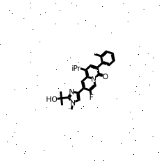 Cc1ccccc1-c1cc(C(C)C)c2cc(-c3cn(C)c(C(C)(C)O)n3)c(F)cn2c1=O